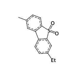 CCc1ccc2c(c1)S(=O)(=O)c1ccc(C)cc1-2